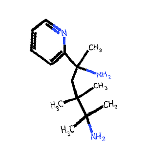 CC(N)(CC(C)(C)C(C)(C)N)c1ccccn1